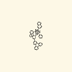 CC1CC(c2ccc3c4ccccc4c4ccccc4c3c2)=Cc2oc3cccc(-c4nc(-c5ccccc5)nc(-c5ccc6ccccc6c5)n4)c3c21